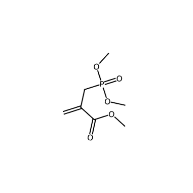 C=C(CP(=O)(OC)OC)C(=O)OC